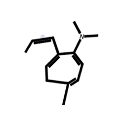 C/C=C\C1=CCC(C)=CC=C1N(C)C